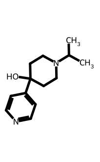 CC(C)N1CCC(O)(c2ccncc2)CC1